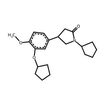 COc1ccc(C2CC(=O)N(C3CCCC3)C2)cc1OC1CCCC1